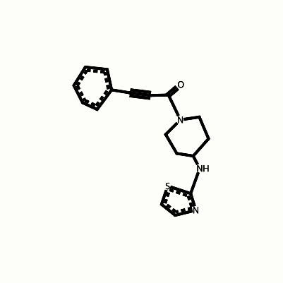 O=C(C#Cc1ccccc1)N1CCC(Nc2nccs2)CC1